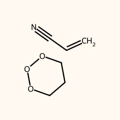 C1COOOC1.C=CC#N